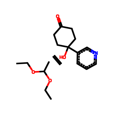 C=C.CCOC(C)OCC.O=C1CCC(O)(c2cccnc2)CC1